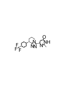 Cc1nc(-c2nnc3n2CCC[C@@H]3c2ccc(C(F)(F)F)cc2)cc(=O)[nH]1